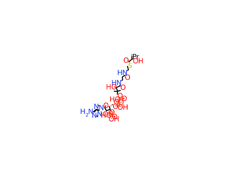 CC(C)C(O)C(=O)SCCNC(=O)CCNC(=O)[C@H](O)C(C)(C)COP(=O)(O)OP(=O)(O)OC[C@H]1O[C@@H](n2cnc3c(N)ncnc32)[C@H](O)[C@@H]1OP(=O)(O)O